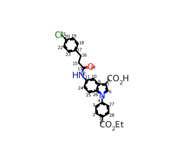 CCOC(=O)c1ccc(-n2cc(C(=O)O)c3cc(NC(=O)CCc4ccc(Cl)cc4)ccc32)cc1